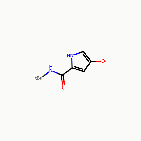 CC(C)(C)NC(=O)c1cc([O])c[nH]1